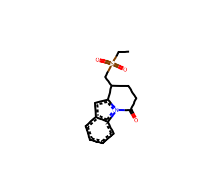 CCS(=O)(=O)CC1CCC(=O)n2c1cc1ccccc12